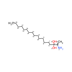 C=C(N)C(O)(O)CCCCCCCCCCCCCCC